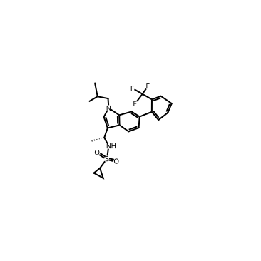 CC(C)Cn1cc([C@@H](C)NS(=O)(=O)C2CC2)c2ccc(-c3ccccc3C(F)(F)F)cc21